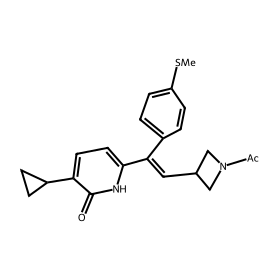 CSc1ccc(/C(=C\C2CN(C(C)=O)C2)c2ccc(C3CC3)c(=O)[nH]2)cc1